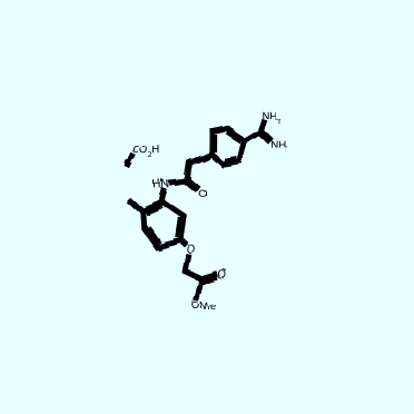 CC(=O)O.COC(=O)COc1ccc(C)c(NC(=O)Cc2ccc(C(=N)N)cc2)c1